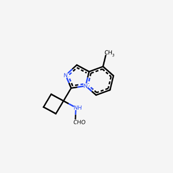 Cc1cccn2c(C3(NC=O)CCC3)ncc12